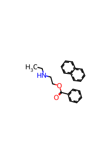 CCNCCOC(=O)c1ccccc1.c1ccc2ccccc2c1